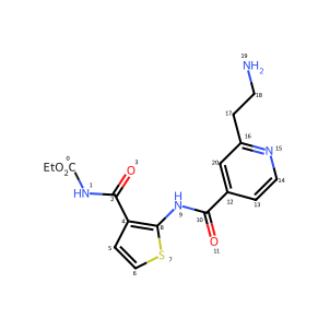 CCOC(=O)NC(=O)c1ccsc1NC(=O)c1ccnc(CCN)c1